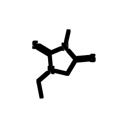 CCN1CC(=S)N(C)C1=S